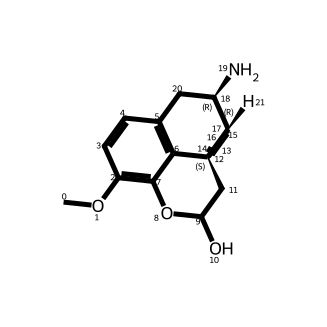 COc1ccc2c3c1OC(O)C[C@@]31C=CCC[C@H]1[C@H](N)C2